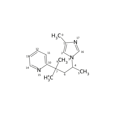 Cc1cn(C(C)CC(C)(C)c2ccccn2)cn1